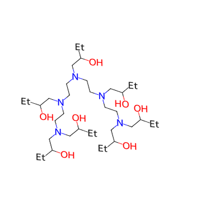 CCC(O)CN(CCN(CCN(CC(O)CC)CC(O)CC)CC(O)CC)CCN(CCN(CC(O)CC)CC(O)CC)CC(O)CC